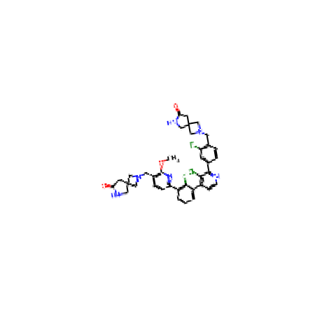 COc1nc(-c2cccc(-c3ccnc(-c4ccc(CN5CC6(CNC(=O)C6)C5)c(F)c4)c3Cl)c2Cl)ccc1CN1CC2(CNC(=O)C2)C1